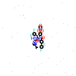 O=C(Cn1ccc(C2CC2)n1)NC(Cc1cc(F)cc(F)c1)c1nc2cc(-c3ccc(F)cc3F)ccc2c(=O)n1-c1ccc(S(=O)(=O)N2CCOCC2)cc1